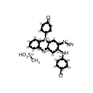 CC(C)N=c1cc2n(-c3ccc(Cl)cc3)c3ccccc3nc-2cc1Nc1ccc(Cl)cc1.CS(=O)(=O)O